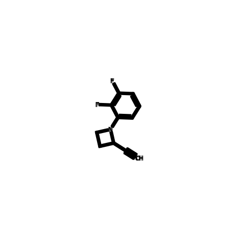 C#CC1CCN1c1cccc(F)c1F